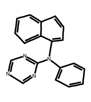 c1ccc(N(c2ncncn2)c2cccc3ccccc23)cc1